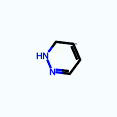 [C]1=CC=NNC1